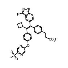 CS(=O)(=O)c1cnc(Oc2ccc(C(=C(c3ccc(C=CC(=O)O)cc3)c3ccc4[nH]nc(F)c4c3)C3CCC3)cc2)cn1